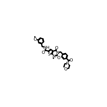 COc1cccc(CNC(=O)c2cc3c(=O)n(Cc4ccc(C(=O)N5CCOCC5)cc4)c(=O)n(C)c3s2)c1